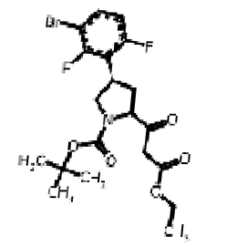 CCOC(=O)CC(=O)C1C[C@H](c2c(F)ccc(Br)c2F)CN1C(=O)OC(C)(C)C